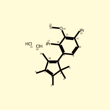 CC1=C(C)C(C)(C)C(c2ccc(C(C)C)c([O][Ti])c2C(C)C)=C1C.Cl.Cl